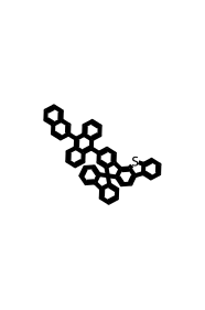 c1ccc2c(c1)-c1ccccc1C21c2cc(-c3c4ccccc4c(-c4ccc5ccccc5c4)c4ccccc34)ccc2-c2c1ccc1c2sc2ccccc21